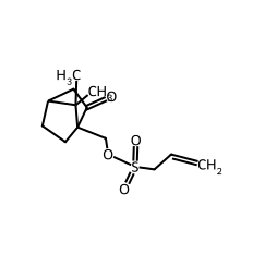 C=CCS(=O)(=O)OCC12CCC(CC1=O)C2(C)C